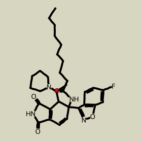 CCCCCCCCCC(=O)NC1(c2noc3cc(F)ccc23)C=CC2=C(C(=O)NC2=O)C1C(C)N1CCCCC1